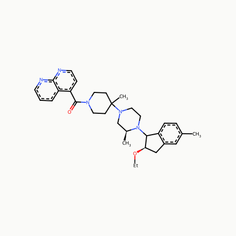 CCO[C@@H]1Cc2cc(C)ccc2C1N1CCN(C2(C)CCN(C(=O)c3ccnc4ncccc34)CC2)C[C@@H]1C